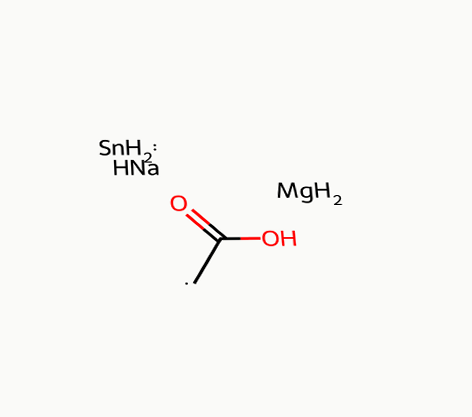 [CH2]C(=O)O.[MgH2].[NaH].[SnH2]